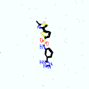 Cc1nc(-c2ccc(S(=O)(=O)NC3=CC(c4nnn[nH]4)CC=C3)s2)cs1